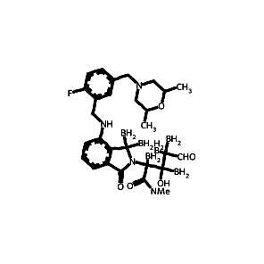 BC1(B)c2c(NCc3cc(CN4CC(C)OC(C)C4)ccc3F)cccc2C(=O)N1C(B)(C(=O)NC)C(B)(O)C(B)(B)C=O